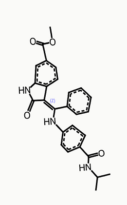 COC(=O)c1ccc2c(c1)NC(=O)/C2=C(\Nc1ccc(C(=O)NC(C)C)cc1)c1ccccc1